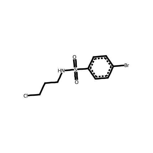 O=S(=O)(NCCCCl)c1ccc(Br)cc1